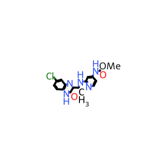 COC(=O)Nc1ccnc(NC(C)c2nc3cc(Cl)ccc3[nH]c2=O)c1